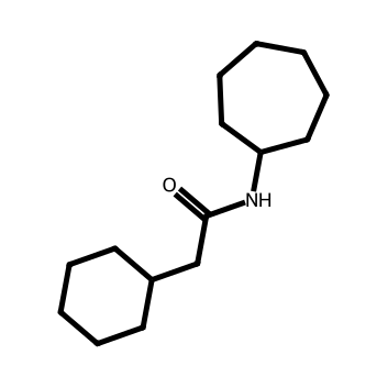 O=C(CC1CCCCC1)NC1CCCCCC1